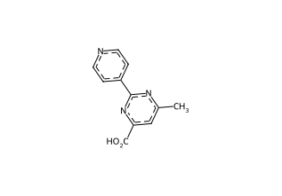 Cc1cc(C(=O)O)nc(-c2ccncc2)n1